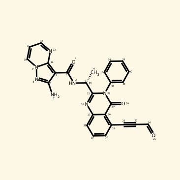 C[C@@H](NC(=O)c1c(N)nn2cccnc12)c1nc2cccc(C#CC=O)c2c(=O)n1-c1ccccc1